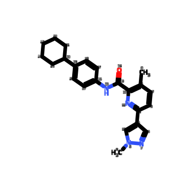 Cc1ccc(-c2cnn(C)c2)nc1C(=O)Nc1ccc(C2CCCCC2)cc1